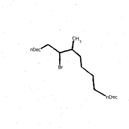 CCCCCCCCCCCCCCC(C)C(Br)CCCCCCCCCCC